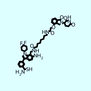 Nc1ccc2c(-c3cccc(C(N)S)c3)cn(C3CCC(F)(F)CC3)c2c1CNC(=O)CCCCCCCNC(=O)COc1cccc2c1CN(C1CCC(=O)NC1=O)C2=O